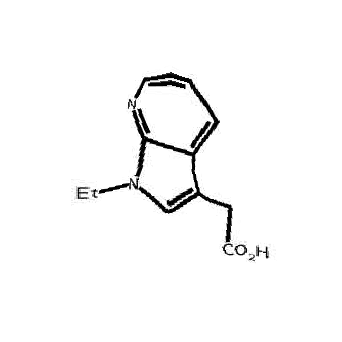 CCn1cc(CC(=O)O)c2cccnc21